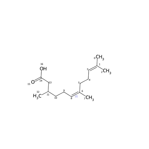 CC(C)=CCC/C(C)=C\CCC(C)CC(=O)O